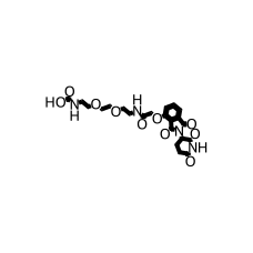 O=C(O)NCCOCCOCCNC(=O)COc1cccc2c1C(=O)N(C1CCC(=O)NC1=O)C2=O